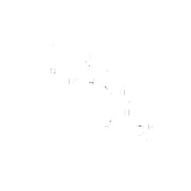 C[C@]12CCC3=C([SH]=C(c4ccccn4)N3)C1=CC[C@@H]1[C@@H]2CC[C@]2(C)C(=O)CC[C@@H]12